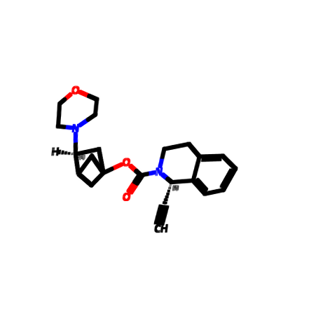 C#C[C@H]1c2ccccc2CCN1C(=O)OC12CC(C1)[C@@H](N1CCOCC1)C2